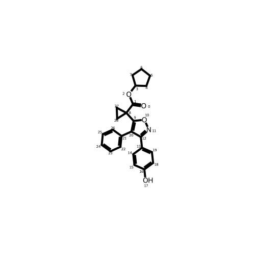 O=C(OC1CCCC1)C1(c2onc(-c3ccc(O)cc3)c2-c2ccccc2)CC1